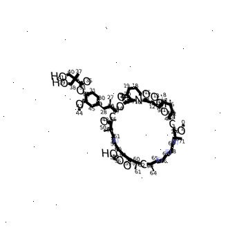 CO[C@H]1C[C@@H]2CC[C@@H](C)[C@@](O)(O2)C(=O)C(=O)N2CCCC[C@H]2C(=O)O[C@H]([C@H](C)C[C@@H]2CC[C@@H](OC(=O)C(C)(CO)CO)[C@H](OC)C2)CC(=O)[C@H](C)/C=C/[C@@H](O)[C@@H](OC)C(=O)[C@H](C)C[C@H](C)/C=C/C=C/C=C/1C